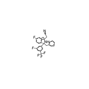 N#CCC(=O)NC(Cc1ccccc1)(c1ccc(F)cc1)c1cc(F)cc(C(F)(F)F)c1